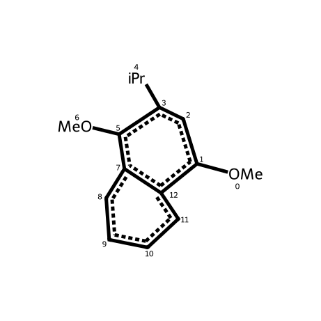 COc1cc(C(C)C)c(OC)c2ccccc12